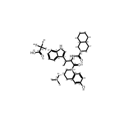 CC(c1c[nH]c2ccccc12)C(NC(=O)N1CCC2CCCCC2C1)C(=O)N1C[C@@H](CN(C)C)Cc2cc(Cl)ccc21.O=C(O)C(F)(F)F